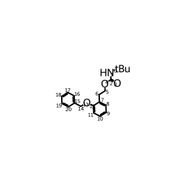 CC(C)(C)NC(=O)OCCc1ccccc1OCc1ccccc1